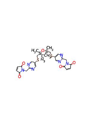 C[Si](C)(CSc1cnc(CN2C(=O)C=CC2=O)nc1)O[Si](C)(C)CSc1cnc(CN2C(=O)C=CC2=O)nc1